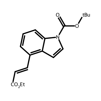 CCOC(=O)/C=C/c1cccc2c1ccn2C(=O)OC(C)(C)C